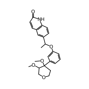 COC1COCCC1(OC)c1cccc(OC(C)c2ccc3[nH]c(=O)ccc3c2)c1